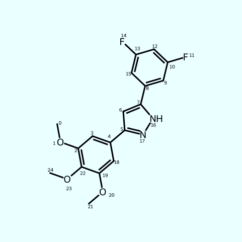 COc1cc(-c2cc(-c3cc(F)cc(F)c3)[nH]n2)cc(OC)c1OC